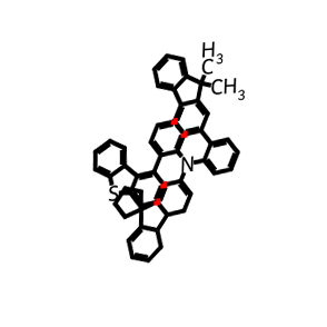 CC1(C)c2ccccc2-c2ccc(-c3ccccc3N(C3=CCC4C(=C3)C3(CCCC3)C3=CC=CCC34)c3ccccc3-c3cccc4sc5ccccc5c34)cc21